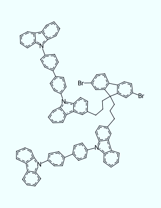 Brc1ccc2c(c1)C(CCCc1ccc3c(c1)c1ccccc1n3-c1ccc(-c3ccc(-n4c5ccccc5c5ccccc54)cc3)cc1)(CCCc1ccc3c(c1)c1ccccc1n3-c1ccc(-c3ccc(-n4c5ccccc5c5ccccc54)cc3)cc1)c1cc(Br)ccc1-2